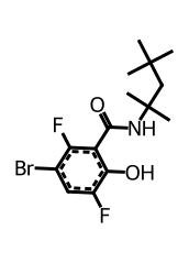 CC(C)(C)CC(C)(C)NC(=O)c1c(O)c(F)cc(Br)c1F